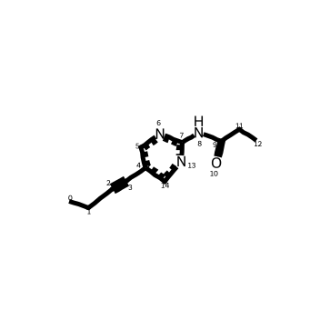 CCC#Cc1cnc(NC(=O)CC)nc1